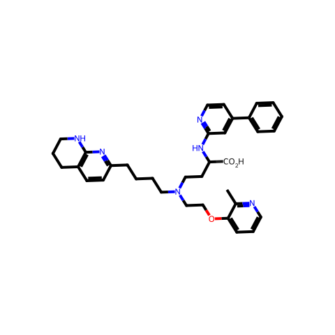 Cc1ncccc1OCCN(CCCCc1ccc2c(n1)NCCC2)CCC(Nc1cc(-c2ccccc2)ccn1)C(=O)O